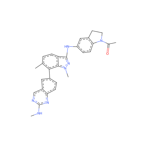 CNc1ncc2cc(-c3c(C)ccc4c(Nc5ccc6c(c5)CCN6C(C)=O)nn(C)c34)ccc2n1